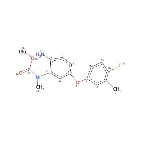 Cc1cc(Oc2ccc(N)c(N(C)C(=O)OC(C)(C)C)c2)ccc1F